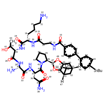 CCCCc1ccc(-c2ccc(C(=O)NCCC(=O)N[C@@H](CCCCN)C(=O)N[C@H](C(=O)N[C@@H](N)C(=O)N[C@@H](CC(N)=O)C(=O)N3CCC[C@H]3B3OC4C[C@@H]5C[C@H](C4O3)C5(C)C)C(C)O)cc2)cc1